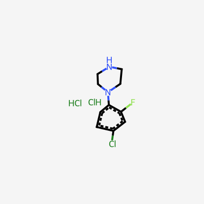 Cl.Cl.Fc1cc(Cl)ccc1N1CCNCC1